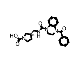 O=C(O)N1CC[C@H](CNC(=O)N2CCN(C(=O)c3ccccc3)c3ccccc32)C1